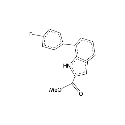 COC(=O)c1cc2cccc(-c3ccc(F)cc3)c2[nH]1